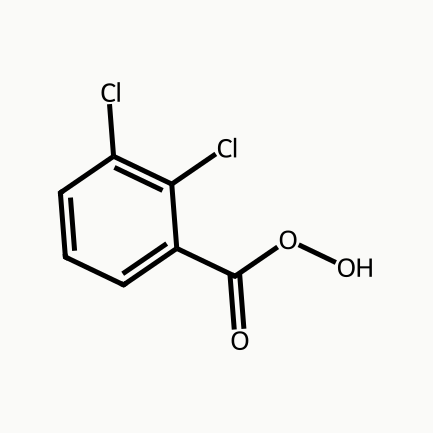 O=C(OO)c1cccc(Cl)c1Cl